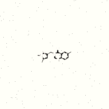 Cc1ccc2ncn(Cc3cc(C)n(C)n3)c(=O)c2c1